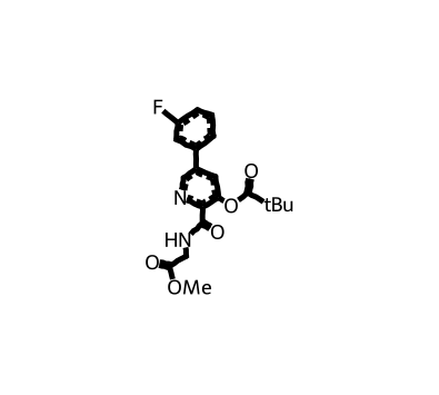 COC(=O)CNC(=O)c1ncc(-c2cccc(F)c2)cc1OC(=O)C(C)(C)C